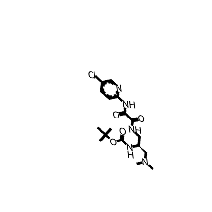 CN(C)C[C@H](CNC(=O)C(=O)Nc1ccc(Cl)cn1)NC(=O)OC(C)(C)C